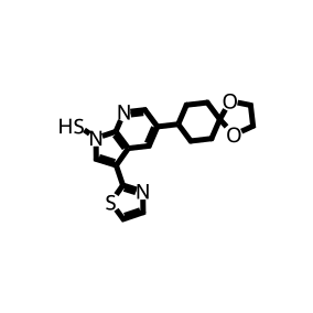 Sn1cc(-c2nccs2)c2cc(C3CCC4(CC3)OCCO4)cnc21